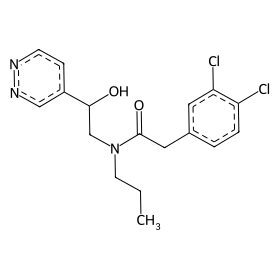 CCCN(CC(O)c1ccnnc1)C(=O)Cc1ccc(Cl)c(Cl)c1